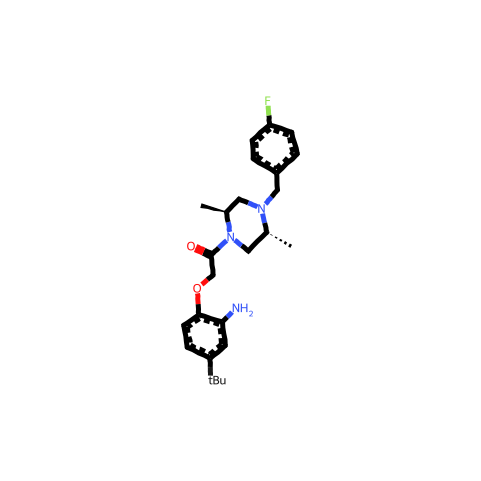 C[C@@H]1CN(C(=O)COc2ccc(C(C)(C)C)cc2N)[C@@H](C)CN1Cc1ccc(F)cc1